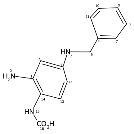 Nc1cc(NCc2ccccc2)ccc1NC(=O)O